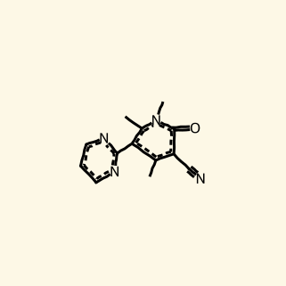 Cc1c(-c2ncccn2)c(C)n(C)c(=O)c1C#N